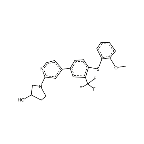 COc1ccccc1Sc1ccc(-c2ccnc(N3CCC(O)C3)c2)cc1C(F)(F)F